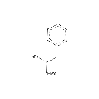 CCCCCCC(CCC)Cc1ccccc1